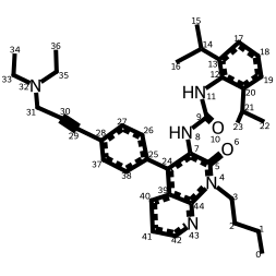 CCCCn1c(=O)c(NC(=O)Nc2c(C(C)C)cccc2C(C)C)c(-c2ccc(C#CCN(CC)CC)cc2)c2cccnc21